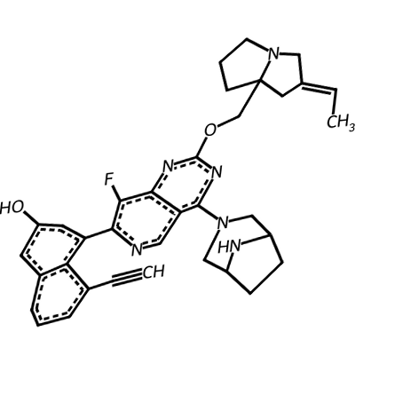 C#Cc1cccc2cc(O)cc(-c3ncc4c(N5CC6CCC(C5)N6)nc(OCC56CCCN5CC(=CC)C6)nc4c3F)c12